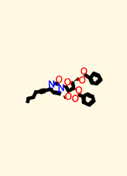 CCCCC#Cc1ccn([C@@H]2O[C@H](COC(=O)c3ccccc3)[C@@H](OC(=O)c3ccccc3)[C@H]2OC)c(=O)n1